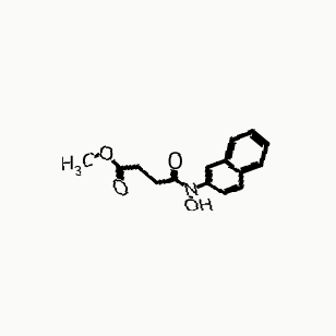 COC(=O)CCC(=O)N(O)c1ccc2ccccc2c1